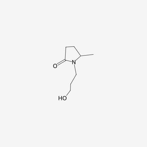 CC1CCC(=O)N1CCCO